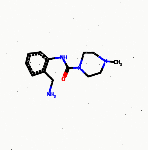 CN1CCN(C(=O)Nc2ccccc2CN)CC1